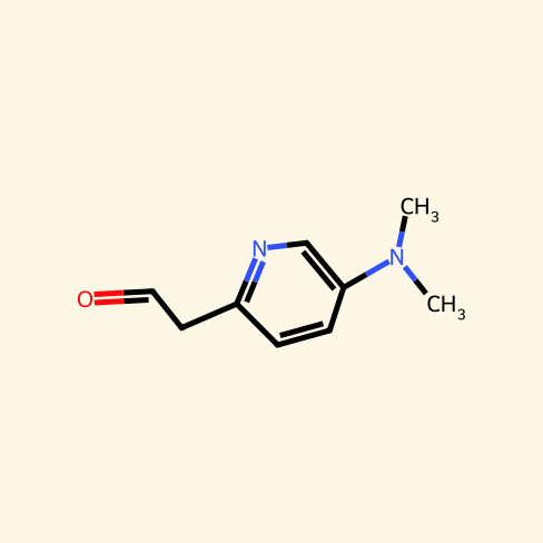 CN(C)c1ccc(CC=O)nc1